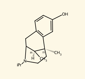 CC(C)N1CC[C@]2(C)c3cc(O)ccc3CC1[C@@H]2C